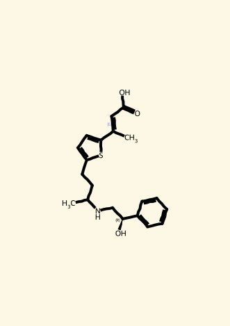 C/C(=C\C(=O)O)c1ccc(CCC(C)NC[C@H](O)c2ccccc2)s1